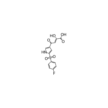 O=C(O)/C(O)=C/C(=O)c1c[nH]c(S(=O)(=O)c2ccc(F)cc2)c1